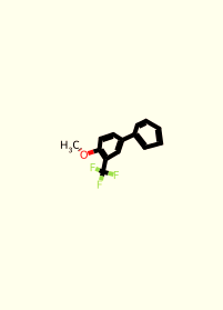 COc1ccc(-c2ccccc2)cc1C(F)(F)F